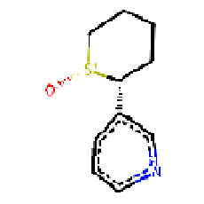 [O-][S@+]1CCCC[C@@H]1c1cccnc1